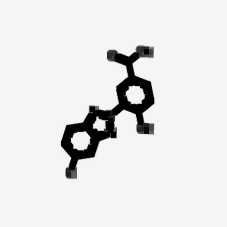 O=C(O)c1ccc(O)c(-n2nc3ccc(Cl)cc3n2)c1